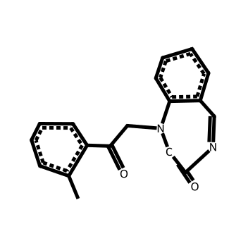 Cc1ccccc1C(=O)CN1CC(=O)N=Cc2ccccc21